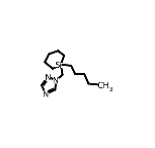 CCCCC[Si]1(Cn2cncn2)CCCCC1